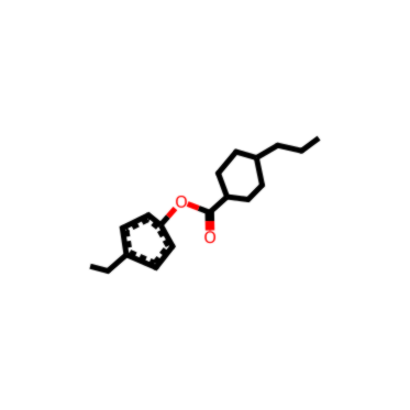 CCCC1CCC(C(=O)Oc2ccc(CC)cc2)CC1